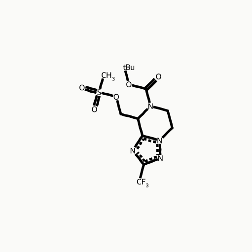 CC(C)(C)OC(=O)N1CCn2nc(C(F)(F)F)nc2C1COS(C)(=O)=O